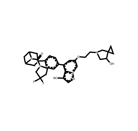 N#Cc1cnn2cc(OCCN3CC(O)C4(CC4)C3)cc(-c3ccc(N4CC5CC(C4)N5C(=O)N4CCC(F)(F)C4)nc3)c12